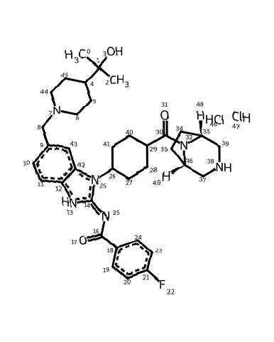 CC(C)(O)C1CCN(Cc2ccc3[nH]/c(=N\C(=O)c4ccc(F)cc4)n(C4CCC(C(=O)N5[C@@H]6CC[C@H]5CNC6)CC4)c3c2)CC1.Cl.Cl